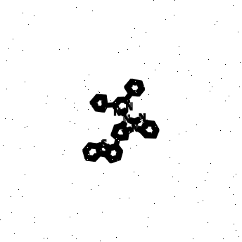 c1ccc(-c2cc(-c3ccccc3)nc(-n3c4ccc(-c5cccc6c5sc5ccccc56)cc4n4c5ccccc5nc34)n2)cc1